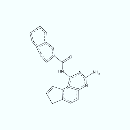 Nc1nc(NC(=O)c2ccc3ccccc3c2)c2c3c(ccc2n1)CC=C3